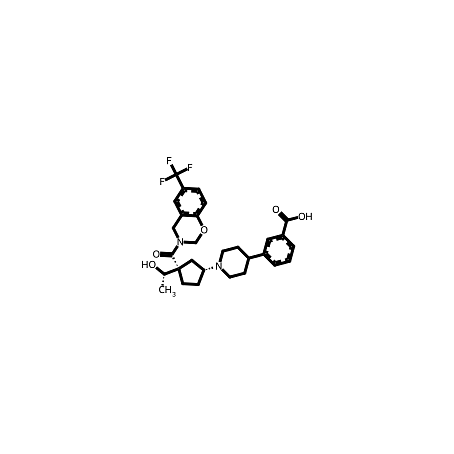 C[C@H](O)[C@]1(C(=O)N2COc3ccc(C(F)(F)F)cc3C2)CC[C@@H](N2CCC(c3cccc(C(=O)O)c3)CC2)C1